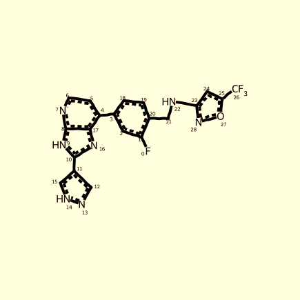 Fc1cc(-c2ccnc3[nH]c(-c4cn[nH]c4)nc23)ccc1CNc1cc(C(F)(F)F)on1